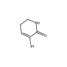 CC(C)C1=CCCNC1=O